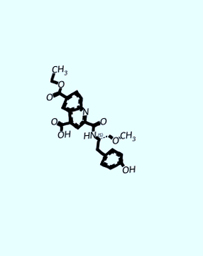 CCOC(=O)c1ccc2nc(C(=O)N[C@H](COC)Cc3ccc(O)cc3)cc(C(=O)O)c2c1